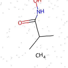 C.CC(C)C(=O)NO